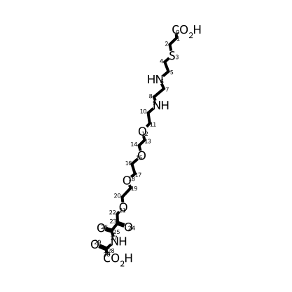 O=C(O)CCSCCNCCNCCOCCOCCOCCOCC(=O)C(=O)NC(=O)C(=O)O